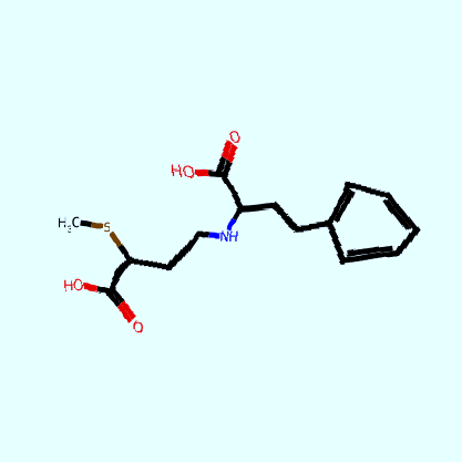 CSC(CCNC(CCc1ccccc1)C(=O)O)C(=O)O